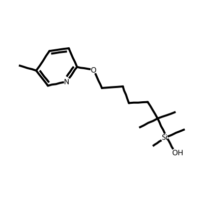 Cc1ccc(OCCCCC(C)(C)[Si](C)(C)O)nc1